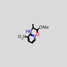 COC(=O)C(C)Nc1ncccc1[N+](=O)[O-]